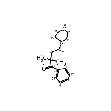 CC(C)(CSN1CCOCC1)C(=O)c1ccccc1